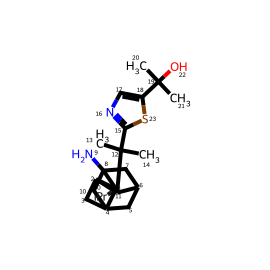 CC(C)C12C3CC14CC(CC2(N)C4)C3C(C)(C)c1ncc(C(C)(C)O)s1